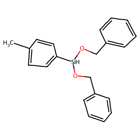 Cc1ccc([SiH](OCc2ccccc2)OCc2ccccc2)cc1